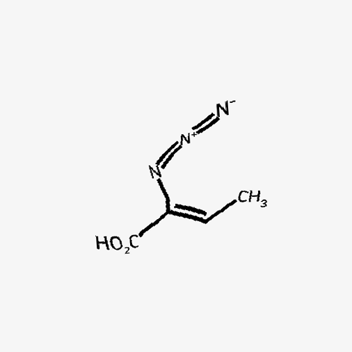 CC=C(N=[N+]=[N-])C(=O)O